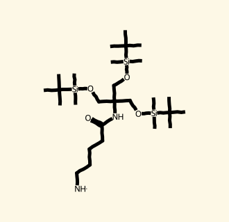 CC(C)(C)[Si](C)(C)OCC(CO[Si](C)(C)C(C)(C)C)(CO[Si](C)(C)C(C)(C)C)NC(=O)CCCC[NH]